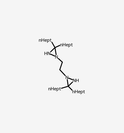 CCCCCCCC1(CCCCCCC)NN1CCN1NC1(CCCCCCC)CCCCCCC